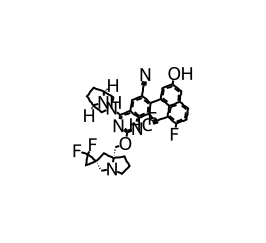 C#Cc1c(F)ccc2cc(O)cc(-c3c(C#N)cc4c(N5C[C@H]6CC[C@@H](C5)N6)nc(OC[C@]56CCCN5C[C@@]5(CC5(F)F)C6)nc4c3F)c12